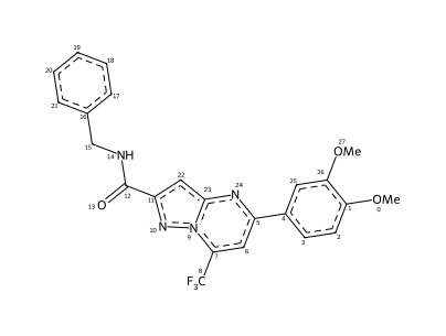 COc1ccc(-c2cc(C(F)(F)F)n3nc(C(=O)NCc4ccccc4)cc3n2)cc1OC